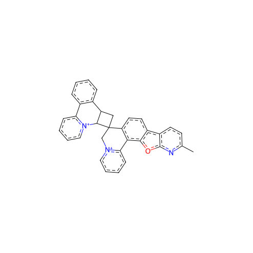 Cc1ccc2c(n1)oc1c3c(ccc12)C1(CC2c4ccccc4-c4cccc[n+]4C21)C[n+]1ccccc1-3